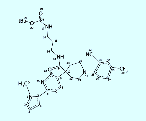 Cn1cccc1-c1ccc(C2(C(=O)NCCCNC(=O)OC(C)(C)C)CCN(c3ccc(C(F)(F)F)cc3C#N)CC2)cn1